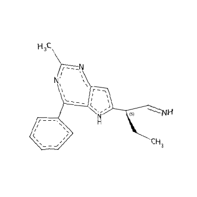 CC[C@H](C=N)c1cc2nc(C)nc(-c3ccccc3)c2[nH]1